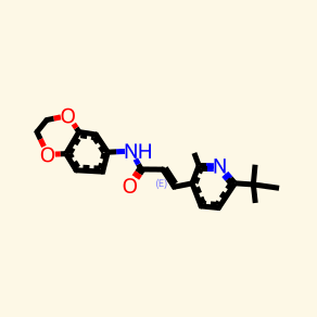 Cc1nc(C(C)(C)C)ccc1/C=C/C(=O)Nc1ccc2c(c1)OCCO2